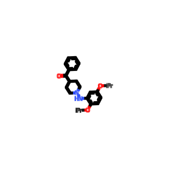 CC(C)Oc1ccc(OC(C)C)c(NN2CCC(C(=O)c3ccccc3)CC2)c1